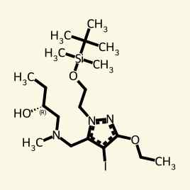 CCOc1nn(CCO[Si](C)(C)C(C)(C)C)c(CN(C)C[C@H](O)CC)c1I